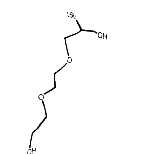 CC(C)(C)C(O)COCCOCCO